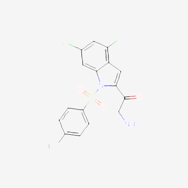 Cc1ccc(S(=O)(=O)n2c(C(=O)CN)cc3c(Cl)cc(Cl)cc32)cc1